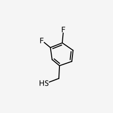 Fc1ccc(CS)cc1F